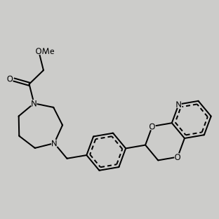 COCC(=O)N1CCCN(Cc2ccc(C3COc4cccnc4O3)cc2)CC1